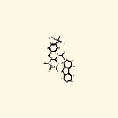 CC(C)OC(=O)[C@H](Cc1ccc(C(F)(F)F)c(F)c1)N(C)C(=O)OCC1c2ccccc2-c2ccccc21